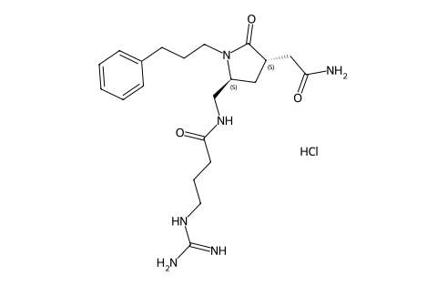 Cl.N=C(N)NCCCC(=O)NC[C@@H]1C[C@@H](CC(N)=O)C(=O)N1CCCc1ccccc1